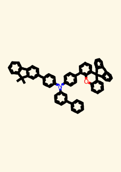 CC1(C)c2ccccc2-c2ccc(-c3ccc(N(c4ccc(-c5cccc6c5Oc5ccccc5C65c6ccccc6-c6ccccc65)cc4)c4cccc(-c5ccccc5)c4)cc3)cc21